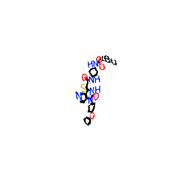 CC(C)(C)OC(=O)N[C@H]1CC[C@H](NC(=O)c2sc3nccc4c3c2NC(=O)N4c2ccc(Oc3ccccc3)cc2)CC1